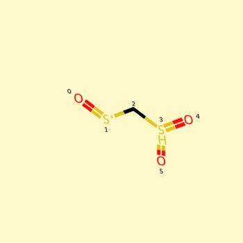 O=[S+]C[SH](=O)=O